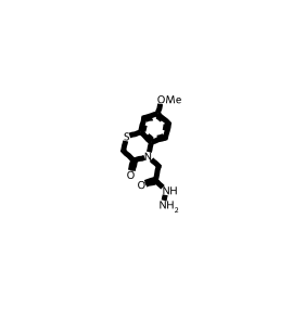 COc1ccc2c(c1)SCC(=O)N2CC(=O)NN